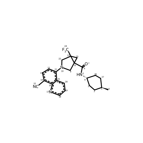 C[C@H]1CC[C@H](NC(=O)C23CN(c4ccc(C#N)c5ncccc45)CC2(C(F)(F)F)C3)CC1